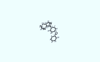 c1ccc(Oc2ccc(-n3ncc4cncnc43)cc2)cc1